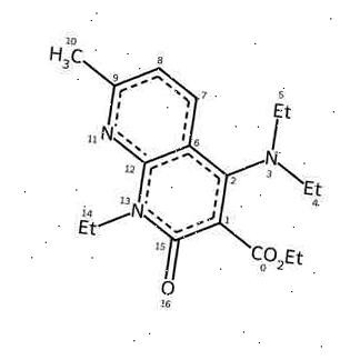 CCOC(=O)c1c(N(CC)CC)c2ccc(C)nc2n(CC)c1=O